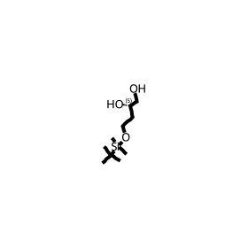 CC(C)(C)[Si](C)(C)OCC[C@H](O)CO